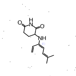 C=C/C(=C\C=C(C)C)NC1CCC(=O)NC1=O